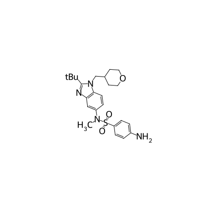 CN(c1ccc2c(c1)nc(C(C)(C)C)n2CC1CCOCC1)S(=O)(=O)c1ccc(N)cc1